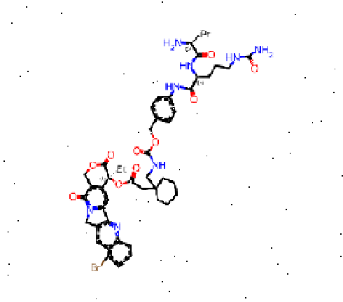 CC[C@@]1(OC(=O)CC2(CNC(=O)OCc3ccc(NC(=O)[C@H](CCCNC(N)=O)NC(=O)[C@@H](N)C(C)C)cc3)CCCCC2)C(=O)OCc2c1cc1n(c2=O)Cc2cc3c(Br)cccc3nc2-1